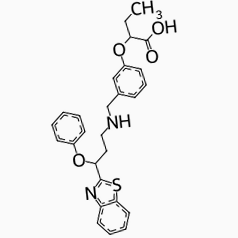 CCC(Oc1cccc(CNCCC(Oc2ccccc2)c2nc3ccccc3s2)c1)C(=O)O